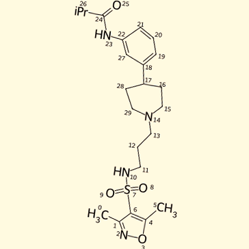 Cc1noc(C)c1S(=O)(=O)NCCCN1CCC(c2cccc(NC(=O)C(C)C)c2)CC1